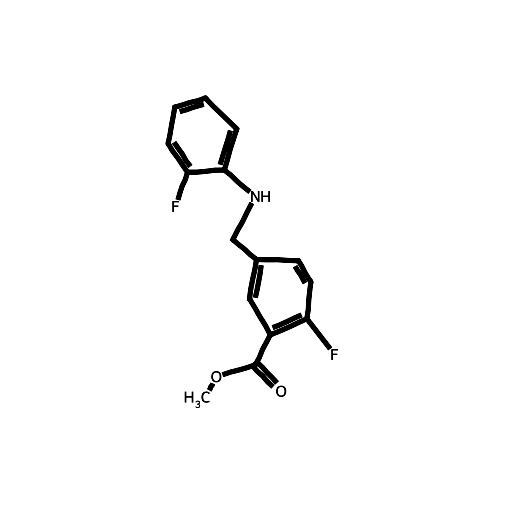 COC(=O)c1cc(CNc2ccccc2F)ccc1F